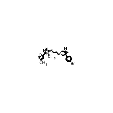 Cc1cc(-c2nnc(SCCCN3C[C@@H]4CC4(c4ccc(Br)cc4)C3)n2C)on1